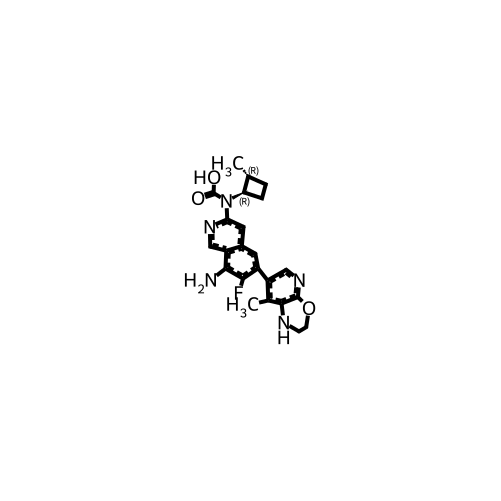 Cc1c(-c2cc3cc(N(C(=O)O)[C@@H]4CC[C@H]4C)ncc3c(N)c2F)cnc2c1NCCO2